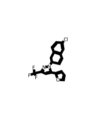 FC(F)(F)c1cc(-c2ccco2)n(C2C=Cc3cc(Cl)ccc3C2)n1